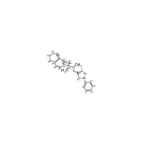 CC(CN1CCC(c2ccccc2)C1)C(C)(C)c1ccc2c(c1)OCCC2